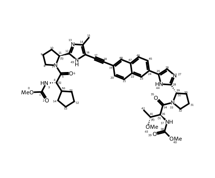 COC(=O)N[C@H](C(=O)N1CCC[C@H]1c1nc(C)c(C#Cc2ccc3cc(-c4cnc([C@@H]5CCCN5C(=O)[C@@H](NC(=O)OC)[C@@H](C)OC)[nH]4)ccc3c2)[nH]1)C1CCCC1